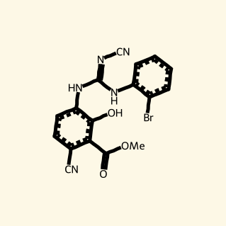 COC(=O)c1c(C#N)ccc(N/C(=N/C#N)Nc2ccccc2Br)c1O